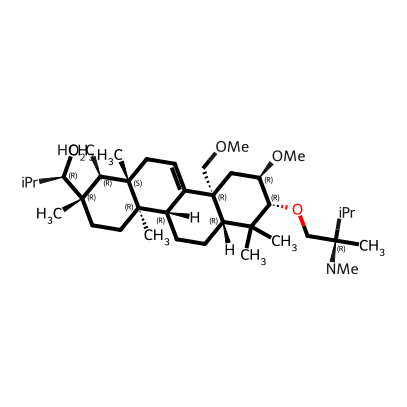 CN[C@@](C)(CO[C@H]1[C@H](OC)C[C@]2(COC)C3=CC[C@@]4(C)[C@H](C(=O)O)[C@@](C)([C@H](C)C(C)C)CC[C@]4(C)[C@H]3CC[C@H]2C1(C)C)C(C)C